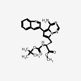 COC(=O)[C@H](Cc1cc(-c2cnc3ccccc3c2)c2c(N)ncnn12)NC(=O)OC(C)(C)C